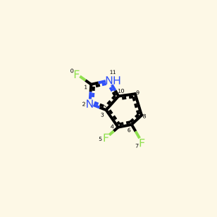 Fc1nc2c(F)c(F)ccc2[nH]1